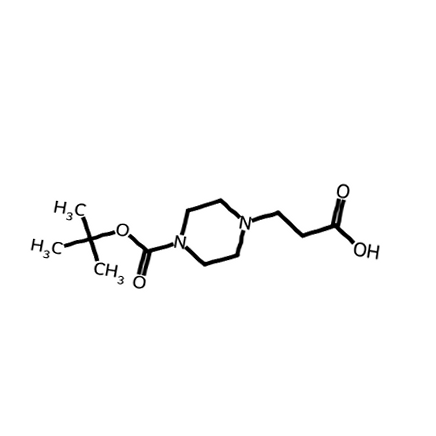 CC(C)(C)OC(=O)N1CCN(CCC(=O)O)CC1